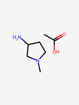 CC(=O)O.CN1CCC(N)C1